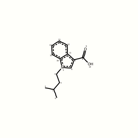 CC(C)CCn1cc(C(=O)O)c2ccccc21